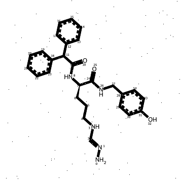 NN=CNCCC[C@@H](NC(=O)C(c1ccccc1)c1ccccc1)C(=O)NCc1ccc(O)cc1